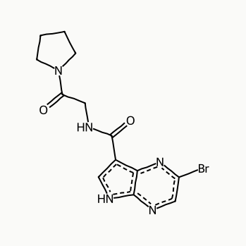 O=C(NCC(=O)N1CCCC1)c1c[nH]c2ncc(Br)nc12